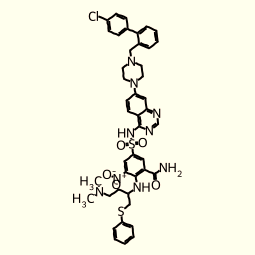 CN(C)CCC(CSc1ccccc1)Nc1c(C(N)=O)cc(S(=O)(=O)Nc2ncnc3cc(N4CCN(Cc5ccccc5-c5ccc(Cl)cc5)CC4)ccc23)cc1[N+](=O)[O-]